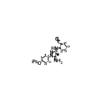 CC(C)Oc1ccc(-n2nc(NC3C=CC=CC3=C=O)nc2N)cc1